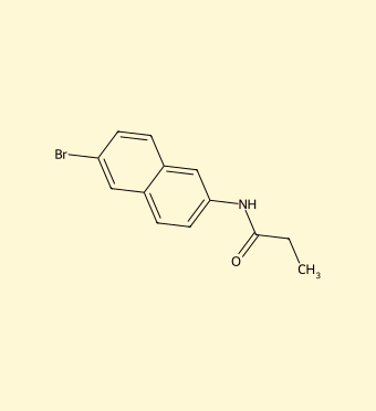 CCC(=O)Nc1ccc2cc(Br)ccc2c1